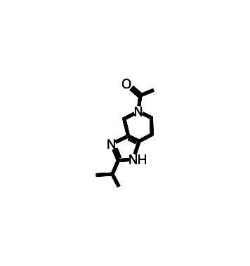 CC(=O)N1CCc2[nH]c(C(C)C)nc2C1